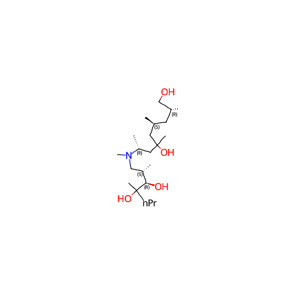 CCCC(C)(O)[C@H](O)[C@@H](C)CN(C)[C@H](C)CC(C)(O)C[C@@H](C)C[C@@H](C)CO